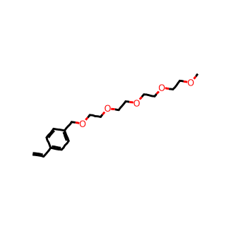 C=Cc1ccc(COCCOCCOCCOCCOC)cc1